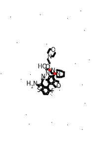 N#Cc1c(N)sc2ccc(F)c(-c3c4c(c5c(N6C7CCC6CN(CCCO)C7)nc(OCCN6CCOCC6)nc5c3F)COC4)c12